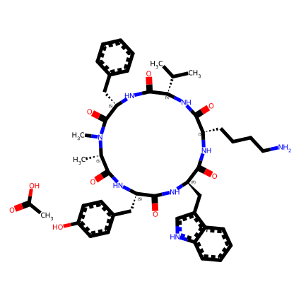 CC(=O)O.CC(C)[C@@H]1NC(=O)[C@H](CCCCN)NC(=O)[C@@H](Cc2c[nH]c3ccccc23)NC(=O)[C@H](Cc2ccc(O)cc2)NC(=O)[C@H](C)N(C)C(=O)[C@H](Cc2ccccc2)NC1=O